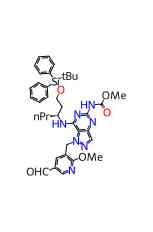 CCC[C@@H](CCO[Si](c1ccccc1)(c1ccccc1)C(C)(C)C)Nc1nc(NC(=O)OC)nc2cnn(Cc3cc(C=O)cnc3OC)c12